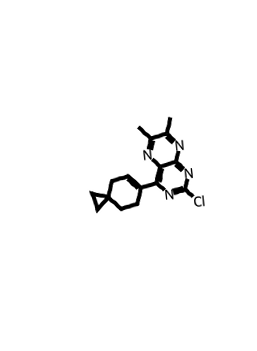 Cc1nc2nc(Cl)nc(C3=CCC4(CC3)CC4)c2nc1C